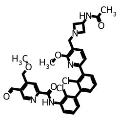 COCc1cc(C(=O)Nc2cccc(-c3cccc(-c4ccc(CN5CC(NC(C)=O)C5)c(OC)n4)c3Cl)c2Cl)ncc1C=O